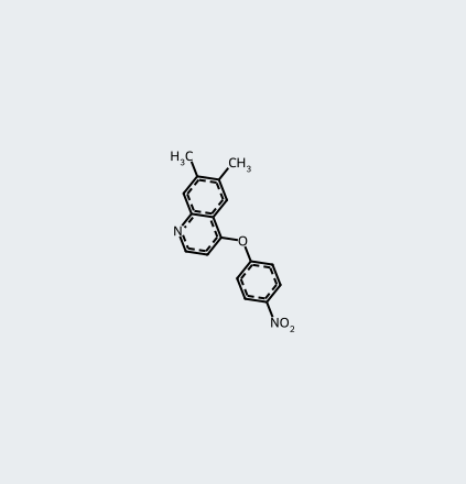 Cc1cc2nccc(Oc3ccc([N+](=O)[O-])cc3)c2cc1C